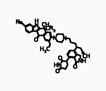 C#CCC(CCCN1CCN(c2cc3c(cc2CC)C(=O)c2c([nH]c4cc(C#N)ccc24)C3(C)C)CC1)c1ccc(C2CCC(=O)NC2=O)c2c1CNC2=O